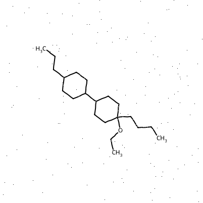 CCCCC1(OCC)CCC(C2CCC(CCC)CC2)CC1